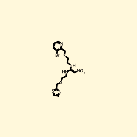 O=[N+]([O-])/C=C(/NCCSCc1nccs1)NCCSCc1ncccc1Br